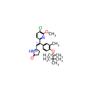 COc1nc(/C(=C/[C@H]2CCC(=O)N2)c2ccc(O[Si](C)(C)C(C)(C)C)c(C)c2)ccc1Cl